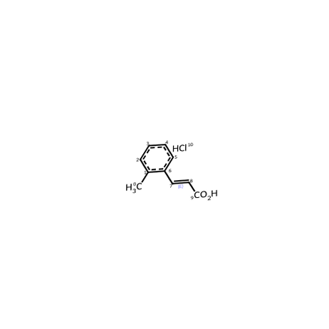 Cc1ccccc1/C=C/C(=O)O.Cl